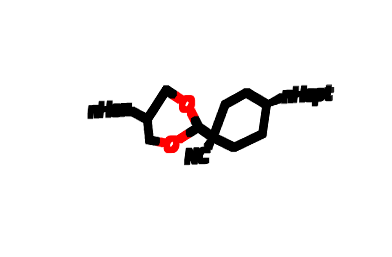 CCCCCCC[C@H]1CC[C@](C#N)(C2OCC(CCCCCC)CO2)CC1